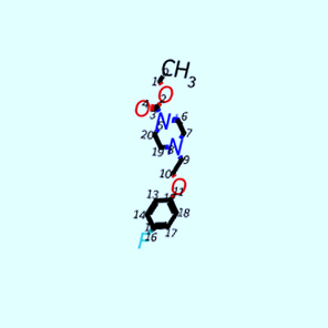 CCOC(=O)[N+]1CCN(CCOc2ccc(F)cc2)CC1